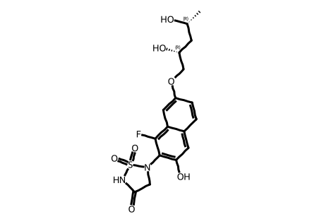 C[C@@H](O)C[C@@H](O)COc1ccc2cc(O)c(N3CC(=O)NS3(=O)=O)c(F)c2c1